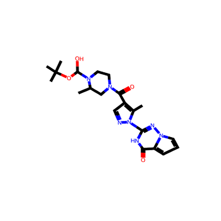 Cc1c(C(=O)N2CCN(C(O)OC(C)(C)C)C(C)C2)cnn1-c1nn2cccc2c(=O)[nH]1